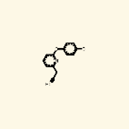 C#C[CH]c1cccc(Oc2ccc(Cl)cc2)n1